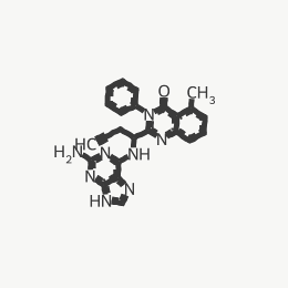 C#CCC(Nc1nc(N)nc2[nH]cnc12)c1nc2cccc(C)c2c(=O)n1-c1ccccc1